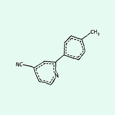 Cc1ccc(-c2cc(C#N)ccn2)cc1